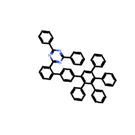 c1ccc(-c2nc(-c3ccccc3)nc(-c3ccccc3-c3ccc(-c4cc(-c5ccccc5)c(-c5ccccc5)c(-c5ccccc5)c4-c4ccccc4)cc3)n2)cc1